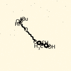 CC(C)(C)OC(=O)NCCCCOCCCCCCCCOc1ccc(C(C)(C)c2ccc(O)cc2)cc1